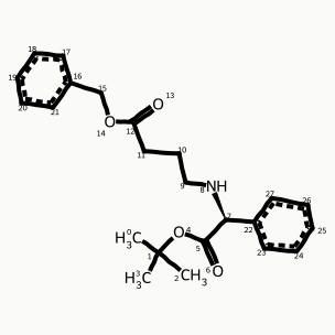 CC(C)(C)OC(=O)[C@@H](NCCCC(=O)OCc1ccccc1)c1ccccc1